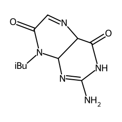 CCC(C)N1C(=O)C=NC2C(=O)NC(N)=NC21